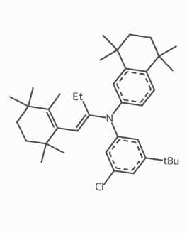 CC/C(=C\C1=C(C)C(C)(C)CCC1(C)C)N(c1cc(Cl)cc(C(C)(C)C)c1)c1ccc2c(c1)C(C)(C)CCC2(C)C